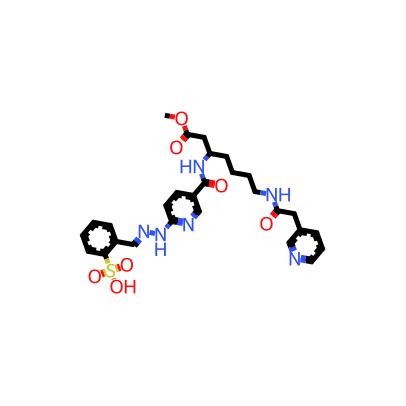 COC(=O)CC(CCCCNC(=O)Cc1cccnc1)NC(=O)c1ccc(NN=Cc2ccccc2S(=O)(=O)O)nc1